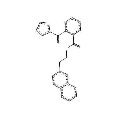 O=C(OCCc1ccc2ccccc2c1)c1ccccc1C(=O)c1cccs1